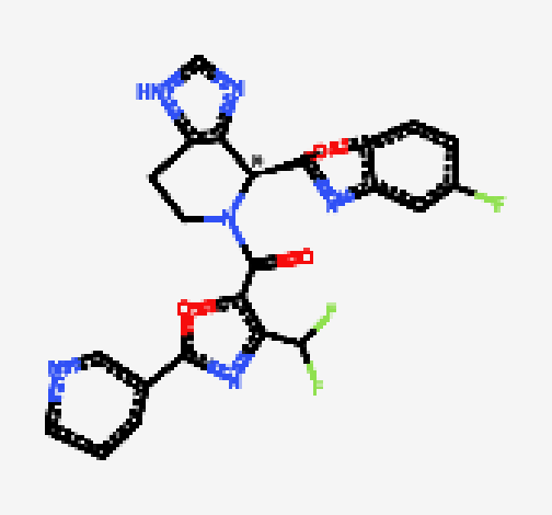 O=C(c1oc(-c2cccnc2)nc1C(F)F)N1CCc2[nH]cnc2[C@H]1c1nc2cc(F)ccc2o1